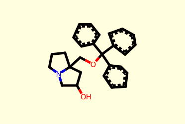 OC1CN2CCCC2(COC(c2ccccc2)(c2ccccc2)c2ccccc2)C1